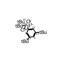 CC(C)(C)c1cc(C(C)(C)C)c[c]([Pd-3]([Cl])([Cl])([C](C)(C)C)[C](C)(C)C)c1